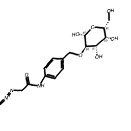 [N-]=[N+]=NCC(=O)Nc1ccc(CO[C@@H]2[C@@H](O)[C@@H](O)[C@@H](CO)O[C@H]2O)cc1